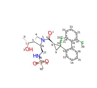 C[C@@H](O)[C@@H]1CN(C(=O)[C@@H]2C[C@@]2(F)c2ccccc2-c2c(F)cccc2F)[C@H]1CNS(C)(=O)=O